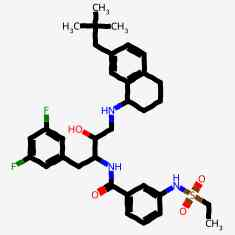 CCS(=O)(=O)Nc1cccc(C(=O)NC(Cc2cc(F)cc(F)c2)C(O)CNC2CCCc3ccc(CC(C)(C)C)cc32)c1